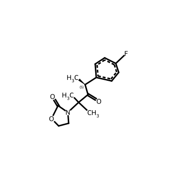 C[C@H](C(=O)C(C)(C)N1CCOC1=O)c1ccc(F)cc1